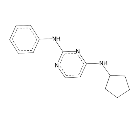 c1ccc(Nc2nccc(NC3CCCC3)n2)cc1